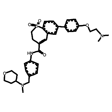 CN(C)CCOc1ccc(-c2ccc3c(c2)C=C(C(=O)Nc2ccc(CN(C)C4CCOCC4)cc2)CCS3(=O)=O)cc1